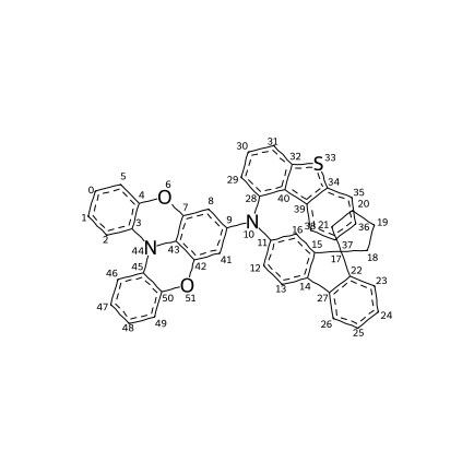 c1ccc2c(c1)Oc1cc(N(c3ccc4c(c3)C3(CCCC3)c3ccccc3-4)c3cccc4sc5ccccc5c34)cc3c1N2c1ccccc1O3